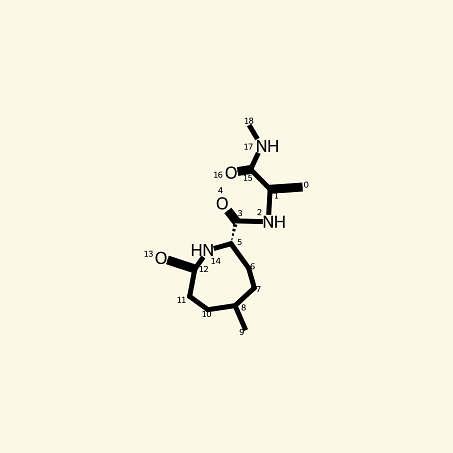 C=C(NC(=O)[C@@H]1CCC(C)CCC(=O)N1)C(=O)NC